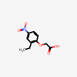 CCc1cc([N+](=O)[O-])ccc1OCC(=O)O